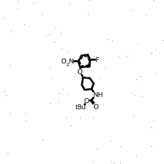 CC(C)(C)OC(=O)NC1CCC(Oc2cc(F)ccc2[N+](=O)[O-])CC1